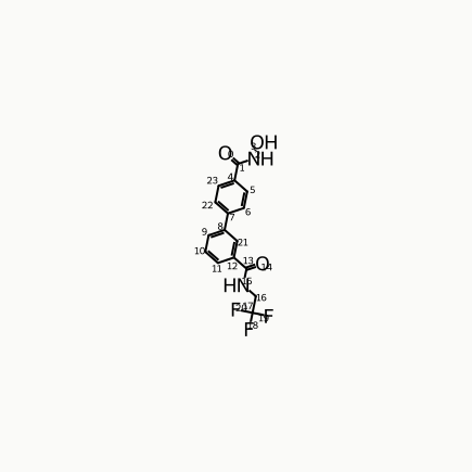 O=C(NO)c1ccc(-c2cccc(C(=O)NCC(F)(F)F)c2)cc1